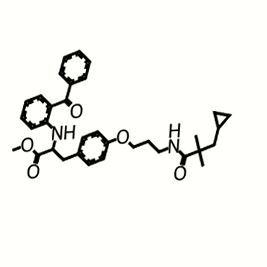 COC(=O)C(Cc1ccc(OCCCNC(=O)C(C)(C)CC2CC2)cc1)Nc1ccccc1C(=O)c1ccccc1